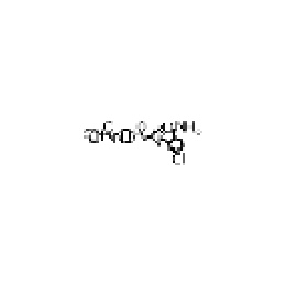 NC(=O)c1ccc(Cl)cc1-c1nc(CC(=O)N2CCN(CC(=O)N3CCSC3)CC2)cs1